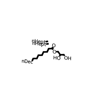 CCCCCCCC.CCCCCCCC.CCCCCCCCCCCCCCCCCC(=O)OCC(O)CO